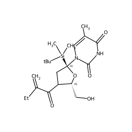 C=C(CC)C(=O)C1C[C@@](n2cc(C)c(=O)[nH]c2=O)([Si](C)(C)C(C)(C)C)O[C@@H]1CO